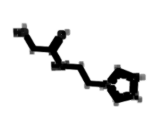 O=C(CO)NCCn1[c]nnc1